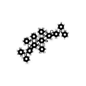 c1ccc(N(c2ccccc2)c2ccc3c(c2)oc2c4c5c(cc23)Sc2cc3c(cc2B5c2ccccc2S4)B2c4ccccc4N(c4ccccc4)c4c2c(cc2c4oc4cc(N(c5ccccc5)c5ccccc5)ccc42)N3c2ccccc2)cc1